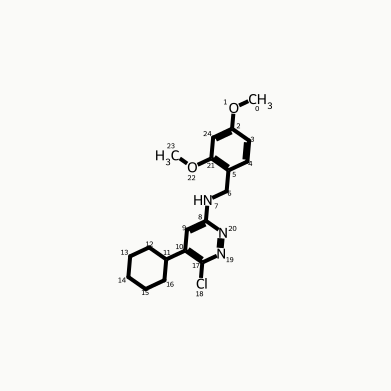 COc1ccc(CNc2cc(C3CCCCC3)c(Cl)nn2)c(OC)c1